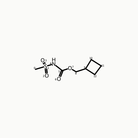 CS(=O)(=O)NC(=O)OCC1CCC1